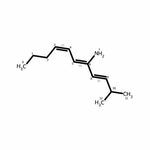 CCC\C=C/C=C(N)/C=C/C(C)C